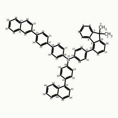 CC1(C)c2ccccc2-c2c(-c3ccc(N(c4ccc(-c5ccc(-c6ccc7ccccc7c6)cc5)cc4)c4ccc(-c5cccc6ccccc56)cc4)cc3)cccc21